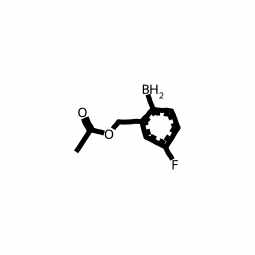 Bc1ccc(F)cc1COC(C)=O